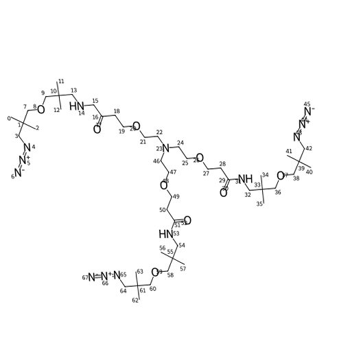 CC(C)(CN=[N+]=[N-])COCC(C)(C)CNCC(=O)CCOCCN(CCOCCC(=O)NCC(C)(C)COCC(C)(C)CN=[N+]=[N-])CCOCCC(=O)NCC(C)(C)COCC(C)(C)CN=[N+]=[N-]